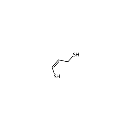 S/C=C\CS